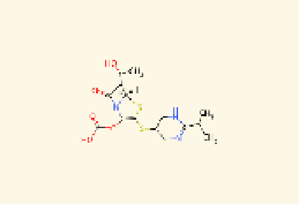 CC(C)C1=NCC(SC2=C(OC(=O)O)N3C(=O)C(C(C)O)[C@@H]3S2)CN1